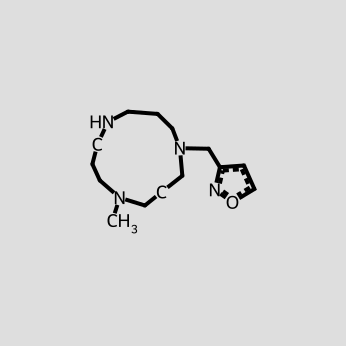 CN1CCCNCCCN(Cc2ccon2)CCC1